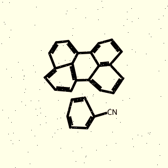 N#Cc1ccccc1.c1cc2cccc3c4cccc5cccc(c(c1)c23)c54